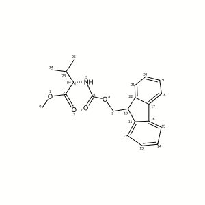 COC(=O)[C@@H](NC(=O)OCC1c2ccccc2-c2ccccc21)C(C)C